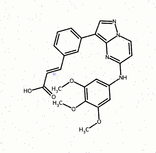 COc1cc(Nc2ccn3ncc(-c4cccc(/C=C/C(=O)O)c4)c3n2)cc(OC)c1OC